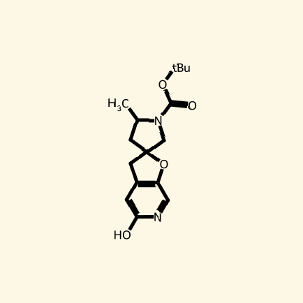 CC1CC2(Cc3cc(O)ncc3O2)CN1C(=O)OC(C)(C)C